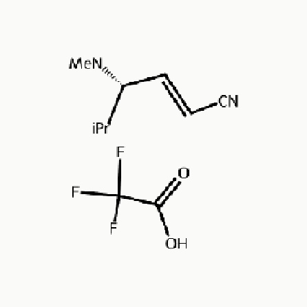 CN[C@H](C=CC#N)C(C)C.O=C(O)C(F)(F)F